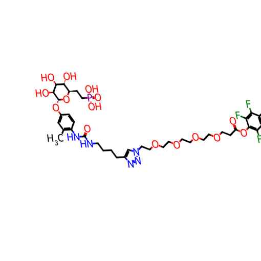 Cc1cc(O[C@H]2O[C@H](CCP(=O)(O)O)[C@@H](O)[C@H](O)[C@@H]2O)ccc1NC(=O)NCCCCc1cn(CCOCCOCCOCCOCCC(=O)Oc2c(F)c(F)c(F)c(F)c2F)nn1